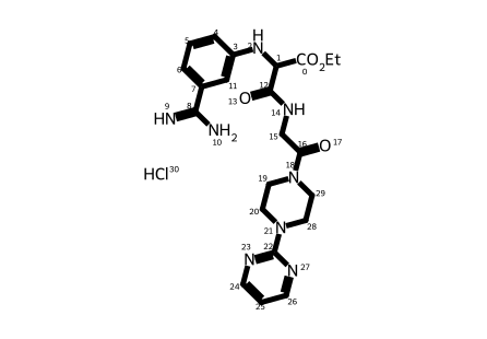 CCOC(=O)C(Nc1cccc(C(=N)N)c1)C(=O)NCC(=O)N1CCN(c2ncccn2)CC1.Cl